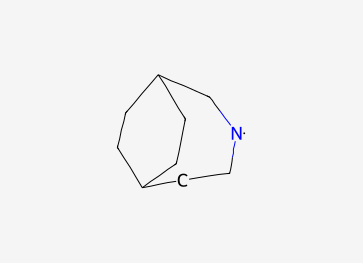 C1CC2CCC(CC2)C[N]1